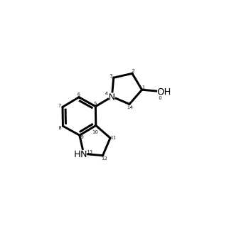 OC1CCN(c2cccc3c2CCN3)C1